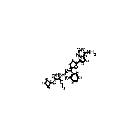 CC(NP(OCC1CCC(c2ccc3c(N)ncnn23)O1)Oc1ccccc1)C(=O)OC1CCC1